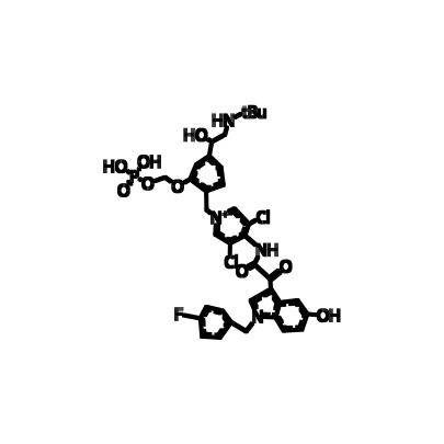 CC(C)(C)NCC(O)c1ccc(C[n+]2cc(Cl)c(NC(=O)C(=O)c3cn(Cc4ccc(F)cc4)c4ccc(O)cc34)c(Cl)c2)c(OCOP(=O)(O)O)c1